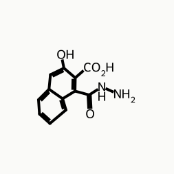 NNC(=O)c1c(C(=O)O)c(O)cc2ccccc12